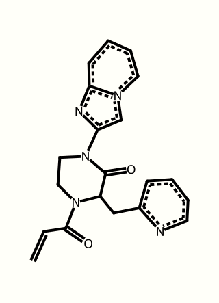 C=CC(=O)N1CCN(c2cn3ccccc3n2)C(=O)C1Cc1ccccn1